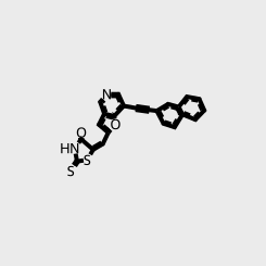 O=C1NC(=S)SC1=Cc1cc2cncc(C#Cc3ccc4ccccc4c3)c2o1